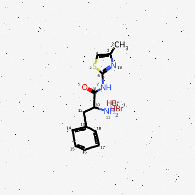 Br.Br.Cc1csc(NC(=O)C(N)Cc2ccccc2)n1